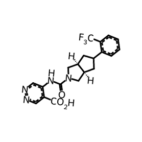 O=C(O)c1cnncc1NC(=O)N1C[C@H]2CC(c3ccccc3C(F)(F)F)C[C@H]2C1